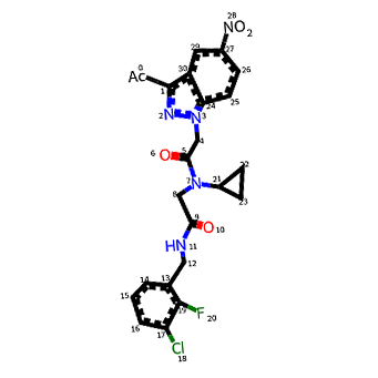 CC(=O)c1nn(CC(=O)N(CC(=O)NCc2cccc(Cl)c2F)C2CC2)c2ccc([N+](=O)[O-])cc12